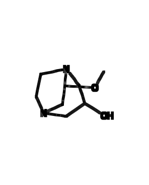 COC1CN2CCN1CC(O)C2